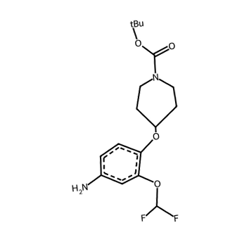 CC(C)(C)OC(=O)N1CCC(Oc2ccc(N)cc2OC(F)F)CC1